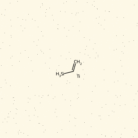 C=C[SiH3].[Ti]